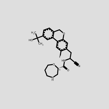 CC(C)(O)c1ccc2c(c1)-c1cc(F)c(CC(C#N)NC(=O)[C@@H]3CNCCCO3)cc1OC2